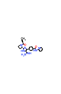 CC#CC(=O)N1CCC[C@H]1c1nc(-c2ccc(C(=O)Nc3ccccn3)cc2)c(C(=N)N)[nH]1